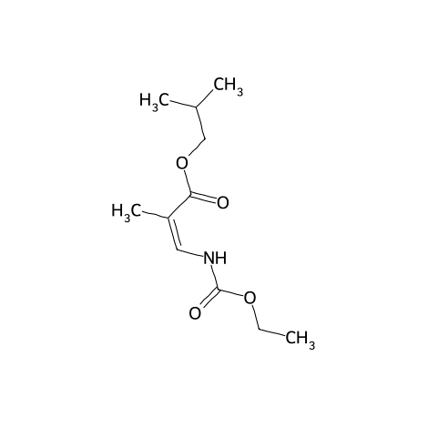 CCOC(=O)NC=C(C)C(=O)OCC(C)C